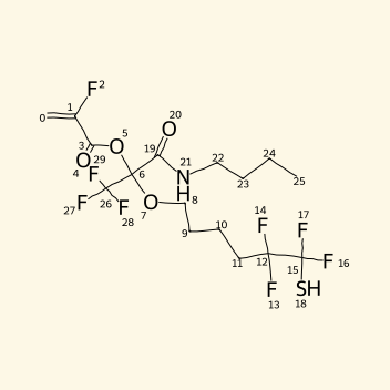 C=C(F)C(=O)OC(OCCCCC(F)(F)C(F)(F)S)(C(=O)NCCCC)C(F)(F)F